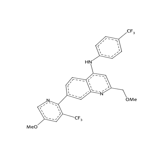 COCc1cc(Nc2ccc(C(F)(F)F)cc2)c2ccc(-c3ncc(OC)cc3C(F)(F)F)cc2n1